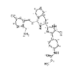 COC(=O)Nc1ccc(-c2nc([C@H](Cc3ccccc3)NCCCc3cc(Cl)ccc3CN)[nH]c2Cl)cc1